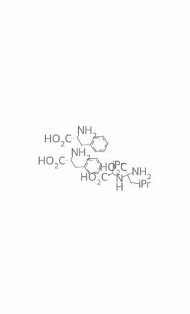 CC(C)C[C@](N)(N[C@@H](C(=O)O)C(C)C)C(=O)O.N[C@H](Cc1ccccc1)C(=O)O.N[C@H](Cc1ccccc1)C(=O)O